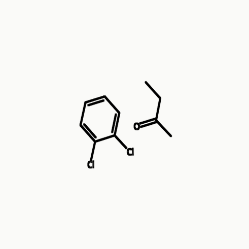 CCC(C)=O.Clc1ccccc1Cl